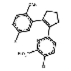 CCOC(=O)c1nc(C2=C(c3cc(Br)ccc3OC)CCC2)ccc1Cl